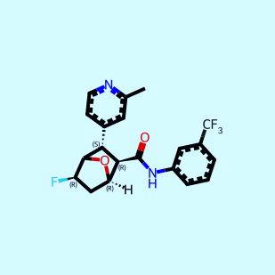 Cc1cc([C@H]2C3O[C@H](C[C@H]3F)[C@@H]2C(=O)Nc2cccc(C(F)(F)F)c2)ccn1